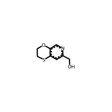 OCc1cc2c(cn1)OCCS2